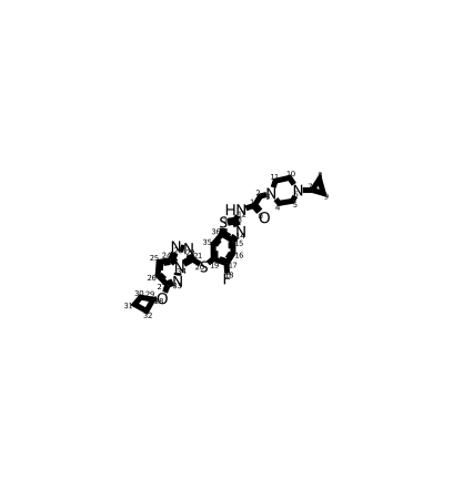 O=C(CN1CCN(C2CC2)CC1)Nc1nc2cc(F)c(Sc3nnc4ccc(OC5CCC5)nn34)cc2s1